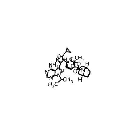 CC(C)n1nc(-c2noc(C3CC3)c2-c2ccc(C3C[C@H]4CC[C@@H](C3)N4C(=O)OC(C)(C)C)cn2)c2c(N)ncnc21